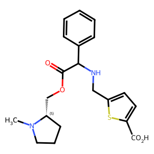 CN1CCC[C@H]1COC(=O)C(NCc1ccc(C(=O)O)s1)c1ccccc1